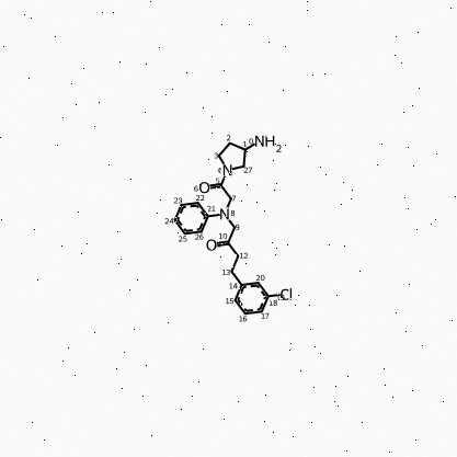 NC1CCN(C(=O)CN(CC(=O)CCc2cccc(Cl)c2)c2ccccc2)C1